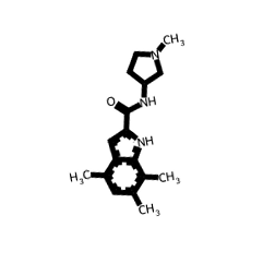 Cc1cc(C)c2cc(C(=O)NC3CCN(C)C3)[nH]c2c1C